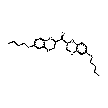 CCCCSc1ccc2c(c1)OCC(C(=O)C1COc3cc(SCCCC)ccc3O1)O2